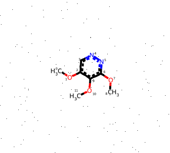 COc1cnnc(OC)c1OC